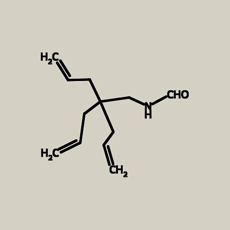 C=CCC(CC=C)(CC=C)CNC=O